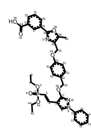 CCOP(=O)(C=Cc1cn(-c2ccccc2)nc1OCc1ccc(OCc2nc(-c3cccc(C(=O)O)c3)oc2C)cc1)OCC